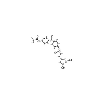 C=C(C)C(=O)Oc1ccc(C(=O)c2ccc(OC(=O)CCN(CCO)CCO)cc2)cc1